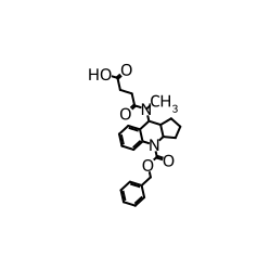 CN(C(=O)CCC(=O)O)C1c2ccccc2N(C(=O)OCc2ccccc2)C2CCCC12